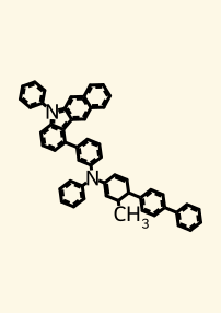 CC1C=C(N(c2ccccc2)c2cccc(-c3cccc4c3c3cc5ccccc5cc3n4-c3ccccc3)c2)C=CC1c1ccc(-c2ccccc2)cc1